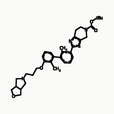 Cc1c(OCCCN2CC3COCC3C2)cccc1-c1cccc(-c2nc3c(s2)CN(C(=O)OC(C)(C)C)CC3)c1C